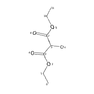 CCOC(=O)C([O])C(=O)OCC